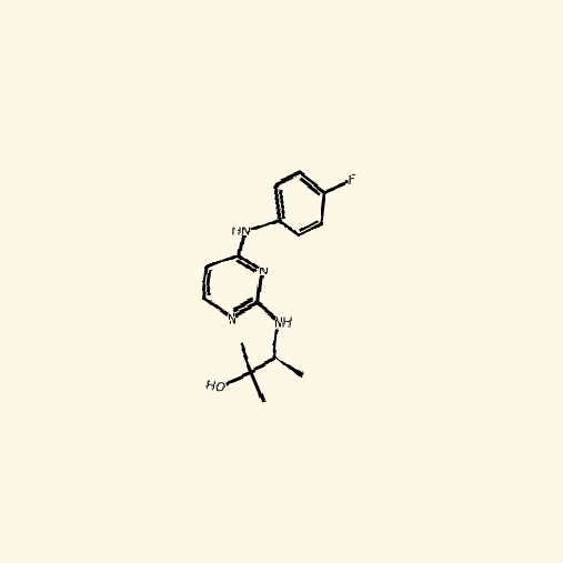 C[C@H](Nc1nccc(Nc2ccc(F)cc2)n1)C(C)(C)O